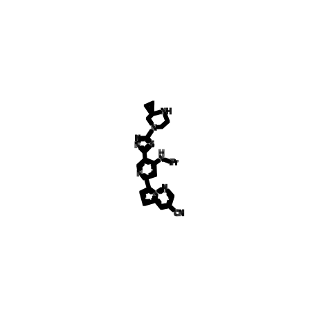 CC(C)Nc1cc(-c2ccc3cc(C#N)cnn23)ncc1-c1nnc(N2CCNC3(CC3)C2)s1